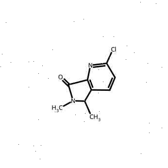 CC1c2ccc(Cl)nc2C(=O)N1C